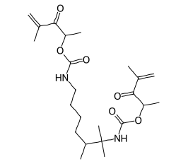 C=C(C)C(=O)C(C)OC(=O)NCCCCC(C)C(C)(C)NC(=O)OC(C)C(=O)C(=C)C